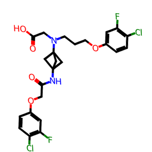 O=C(O)CN(CCCOc1ccc(Cl)c(F)c1)C12CC(NC(=O)COc3ccc(Cl)c(F)c3)(C1)C2